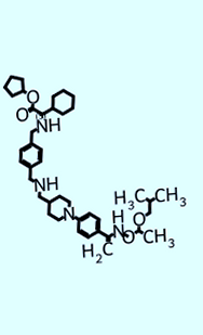 C=C(NOC(C)OCC(C)C)c1ccc(N2CCC(CNCc3ccc(CN[C@H](C(=O)OC4CCCC4)C4CCCCC4)cc3)CC2)cc1